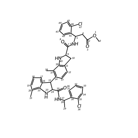 COC(=O)CC(NC(=O)C1Cc2ccc(C3c4cccc(C)c4NC3C(=O)NC(C)c3ccccc3Cl)c(C)c2N1)c1ccccc1Cl